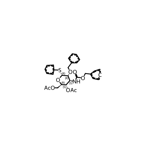 CC(=O)OC[C@H]1O[C@H](Sc2ccccc2)[C@H](OCc2ccccc2)[C@@H](NC(=O)OCc2ccccc2)[C@@H]1OC(C)=O